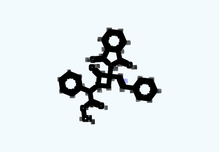 COC(=O)C(c1ccccc1)N1CC(/C=C/c2ccccc2)(N2C(=O)c3ccccc3C2=O)C1=O